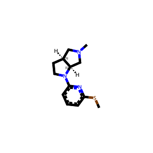 CSc1cccc(N2CC[C@H]3CN(C)C[C@H]32)n1